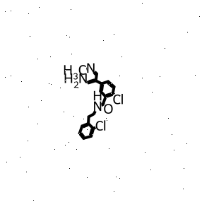 C/N=C\C(=C/N)c1ccc(Cl)c(C(=O)NCCc2ccccc2Cl)c1